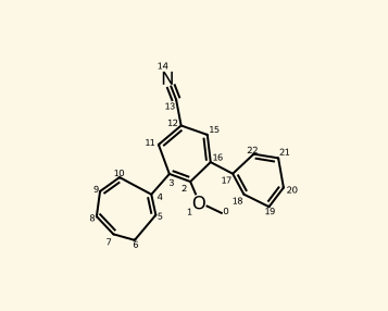 COc1c(C2=CCC=CC=C2)cc(C#N)cc1-c1ccccc1